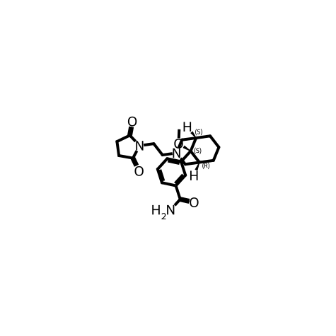 CO[C@]1(c2cccc(C(N)=O)c2)[C@@H]2CCC[C@H]1CN(CCN1C(=O)CCC1=O)C2